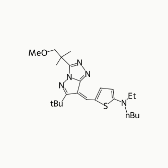 CCCCN(CC)c1ccc(/C=c2/c(C(C)(C)C)nn3c(C(C)(C)COC)nnc23)s1